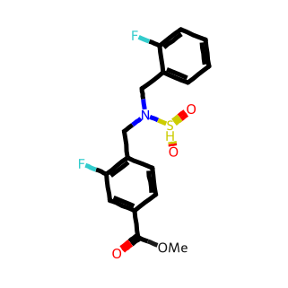 COC(=O)c1ccc(CN(Cc2ccccc2F)[SH](=O)=O)c(F)c1